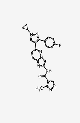 Cc1nocc1C(=O)Nc1cn2nc(-c3cn(C4CC4)nc3-c3ccc(F)cc3)ccc2n1